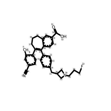 Cc1cc(C#N)ccc1C1=C(c2ccc(CC3CN(CCCF)C3)cc2)c2ccc(C(=O)O)cc2CCC1